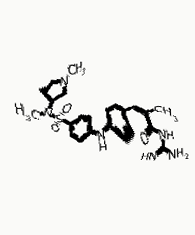 CC(=Cc1ccc(Nc2ccc(S(=O)(=O)N(C)C3CCN(C)C3)cc2)cc1)C(=O)NC(=N)N